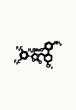 COc1ccc(N)cc1C1=C(CN2C(=O)O[C@H](c3cc(C(F)(F)F)cc(C(F)(F)F)c3)[C@@H]2C)CC(C(F)(F)F)CC1